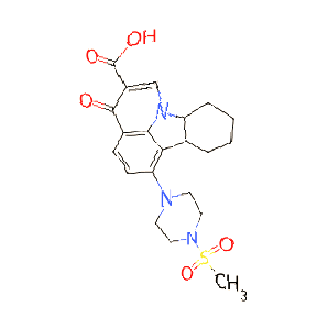 CS(=O)(=O)N1CCN(c2ccc3c(=O)c(C(=O)O)cn4c3c2C2CCCCC24)CC1